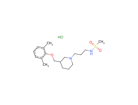 Cc1cccc(C)c1OCC1CCCN(CCCNS(C)(=O)=O)C1.Cl